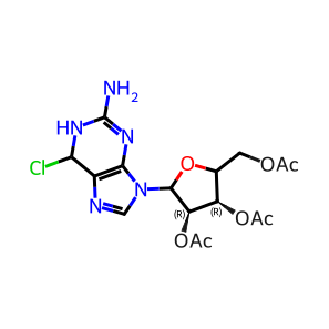 CC(=O)OCC1OC(n2cnc3c2N=C(N)NC3Cl)[C@H](OC(C)=O)[C@@H]1OC(C)=O